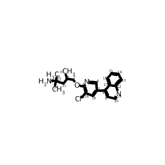 CC(COc1ncc(-c2ccnc3ccccc23)cc1Cl)CC(C)(C)N